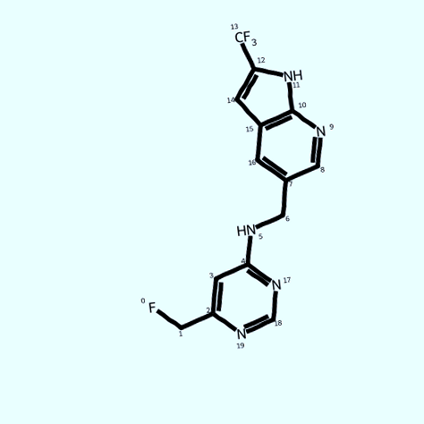 FCc1cc(NCc2cnc3[nH]c(C(F)(F)F)cc3c2)ncn1